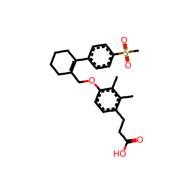 Cc1c(CCC(=O)O)ccc(OCC2=C(c3ccc(S(C)(=O)=O)cc3)CCCC2)c1C